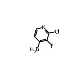 Bc1ccnc(Cl)c1F